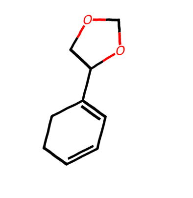 C1=CCCC(C2COCO2)=C1